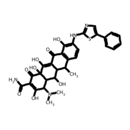 CC1c2ccc(Nc3ncc(-c4ccccc4)s3)c(O)c2C(=O)C2=C(O)C3(O)C(=O)C(C(N)=O)=C(O)C(N(C)C)C3C(O)C21